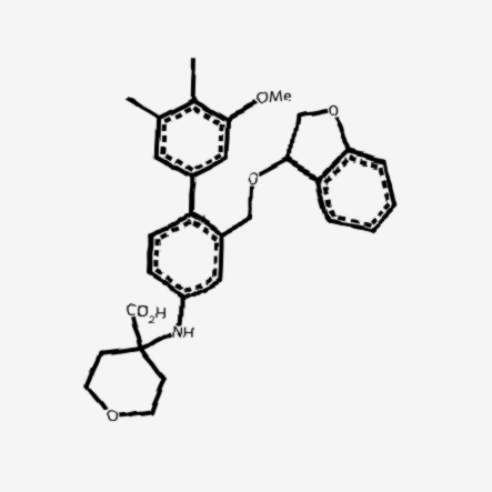 COc1cc(-c2ccc(NC3(C(=O)O)CCOCC3)cc2COC2COc3ccccc32)cc(C)c1C